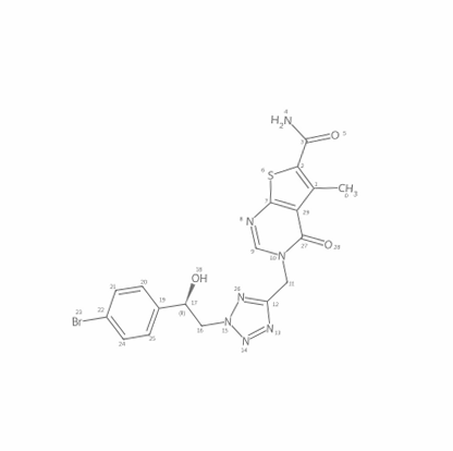 Cc1c(C(N)=O)sc2ncn(Cc3nnn(C[C@H](O)c4ccc(Br)cc4)n3)c(=O)c12